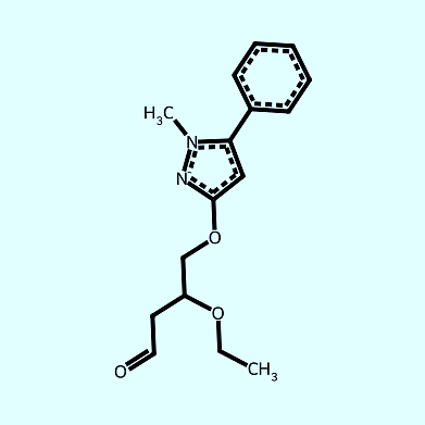 CCOC(CC=O)COc1cc(-c2ccccc2)n(C)n1